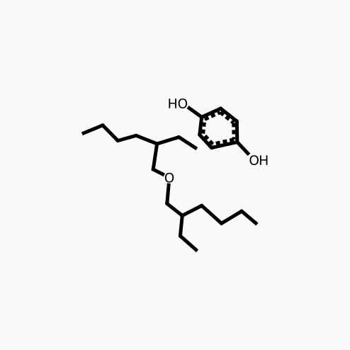 CCCCC(CC)COCC(CC)CCCC.Oc1ccc(O)cc1